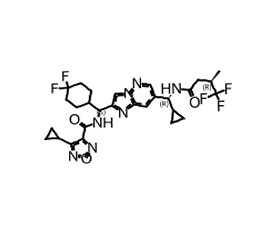 C[C@H](CC(=O)N[C@@H](c1cnn2cc([C@@H](NC(=O)c3nonc3C3CC3)C3CCC(F)(F)CC3)nc2c1)C1CC1)C(F)(F)F